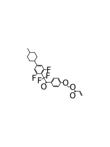 C=CC(=O)OCOc1ccc(C(=O)C(F)(F)c2c(F)cc(C3CCC(C)CC3)cc2F)cc1